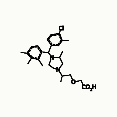 Cc1cc(C(c2ccc(C)c(C)c2C)N2CCN(C(C)COCC(=O)O)CC2C)ccc1Cl